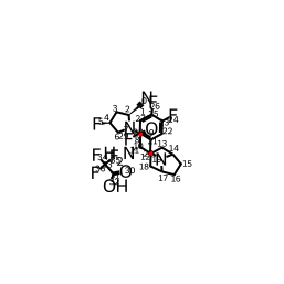 N#C[C@@H]1C[C@H](F)CN1C(=O)[C@@H](N)C1CC2CCC(C1)N2Cc1cc(F)c(F)cc1F.O=C(O)C(F)(F)F